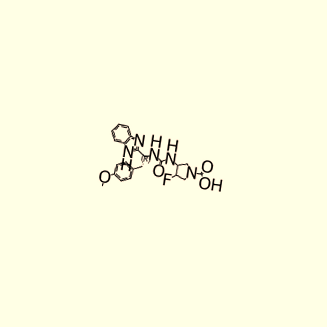 COc1ccc(C[C@@H](NC(=O)NC2CN(C(=O)O)CC2F)c2nc3ccccc3[nH]2)cc1